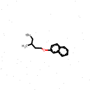 CC(CCOc1[c]c2ccccc2cc1)CC(C)(C)C